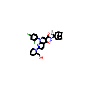 CC1(NC(=O)c2cn(-c3ccc(F)cc3F)c3nc(N4CCCCC4CO)ccc3c2=O)CC2CC3CC(C1)C3C2